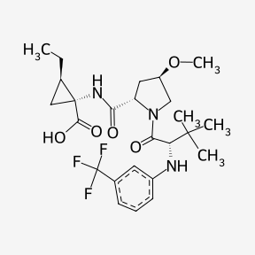 CC[C@@H]1C[C@]1(NC(=O)[C@@H]1C[C@@H](OC)CN1C(=O)[C@@H](Nc1cccc(C(F)(F)F)c1)C(C)(C)C)C(=O)O